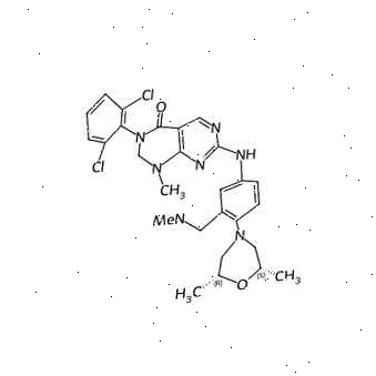 CNCc1cc(Nc2ncc3c(n2)N(C)CN(c2c(Cl)cccc2Cl)C3=O)ccc1N1C[C@@H](C)O[C@@H](C)C1